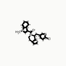 Cn1cc(C(=O)N2CCc3ccsc3C2Cc2ccc(Cl)nc2)c2ccccc21